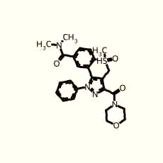 CN(C)C(=O)c1ccc2c(c1)-c1c(c(C(=O)N3CCOCC3)nn1-c1ccccc1)C[SH]2(C)=O